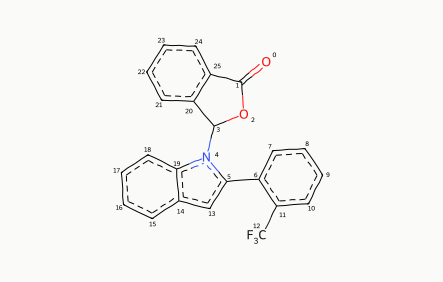 O=C1OC(n2c(-c3ccccc3C(F)(F)F)cc3ccccc32)c2ccccc21